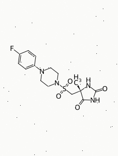 C[C@@]1(CS(=O)(=O)N2CCN(c3ccc(F)cc3)CC2)NC(=O)NC1=O